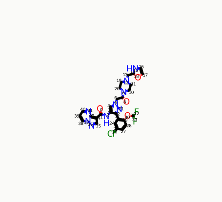 O=C(Nc1cn(CC(=O)N2CCN(CC3NC=CO3)CC2)nc1-c1cc(Cl)ccc1OC(F)F)c1cnn2cccnc12